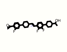 CC(O)C1CCC(c2ccc(/C=C/C3CCC(c4ccc(C5CO5)c(F)c4)CC3)c(F)c2F)CC1